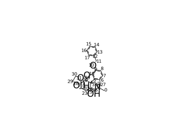 CN1CCC23c4c5ccc(OCc6ccccc6)c4O[C@H]2C2(CC[C@@]3(O)C1C5)OCCO2